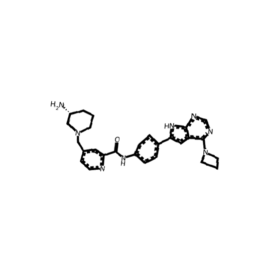 N[C@@H]1CCCN(Cc2ccnc(C(=O)Nc3ccc(-c4cc5c(N6CCC6)ncnc5[nH]4)cc3)c2)C1